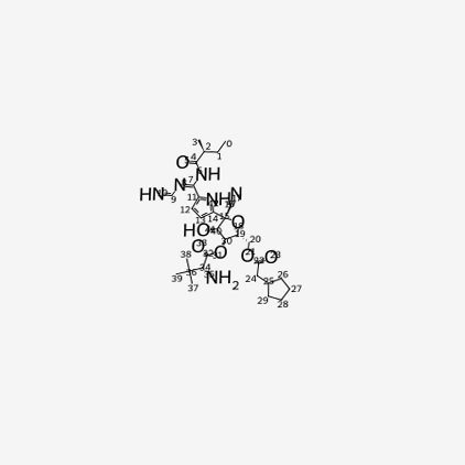 CC[C@H](C)C(=O)N/C(=N/C=N)c1ccc([C@]2(C#N)O[C@H](COC(=O)CC3CCCC3)[C@@H](OC(=O)[C@H](N)C(C)(C)C)[C@H]2O)[nH]1